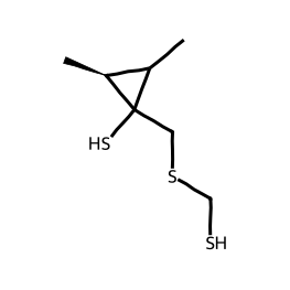 CC1[C@H](C)C1(S)CSCS